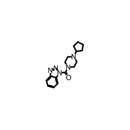 O=C(N1CCN(C2CCCC2)CC1)n1nnc2ccccc21